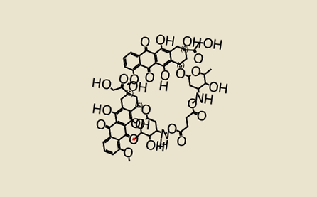 COc1cccc2c1C(=O)c1c(O)c3c(c(O)c1C2=O)C[C@@](O)(C(=O)CO)C[C@@H]3OC1CC(NOC(=O)CCC(=O)ONC2CC(O[C@H]3C[C@](O)(C(=O)CO)Cc4c(O)c5c(c(O)c43)C(=O)c3c(OC)cccc3C5=O)OC(C)C2O)C(O)C(C)O1